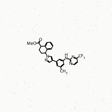 COC(=O)C1CCC(n2cc(-c3cc(C)cc(Nc4nccc(C(F)(F)F)n4)c3)cn2)c2ccccc21